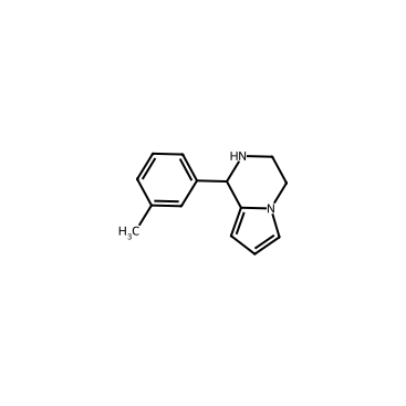 Cc1cccc(C2NCCn3cccc32)c1